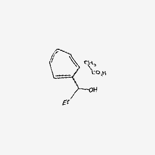 CC(=O)O.CCC(O)c1ccccc1